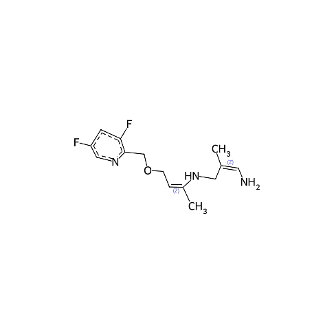 C/C(=C/N)CN/C(C)=C\COCc1ncc(F)cc1F